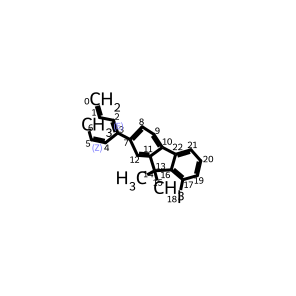 C=C/C=C(\C=C/C)c1ccc2c(c1)C(C)(C)c1c(I)cccc1-2